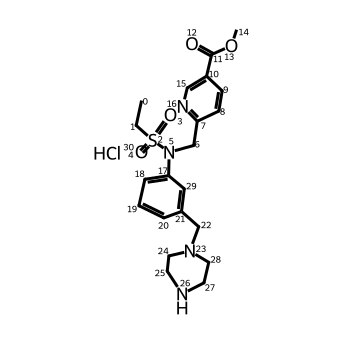 CCS(=O)(=O)N(Cc1ccc(C(=O)OC)cn1)c1cccc(CN2CCNCC2)c1.Cl